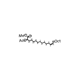 CCCCCCCC/C=C\CCCCCCCCCCC(OC(C)=O)C(=O)OC